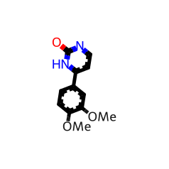 COc1ccc(-c2ccnc(=O)[nH]2)cc1OC